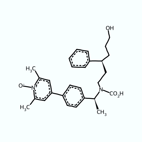 Cc1cc(-c2ccc([C@H](C)N(CC[C@H](CCCO)c3ccccc3)C(=O)O)cc2)cc(C)[n+]1[O-]